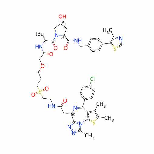 Cc1ncsc1-c1ccc(CNC(=O)[C@@H]2C[C@@H](O)CN2C(=O)C(NC(=O)COCCCS(=O)(=O)CCNC(=O)C[C@@H]2N=C(c3ccc(Cl)cc3)c3c(sc(C)c3C)-n3c(C)nnc32)C(C)(C)C)cc1